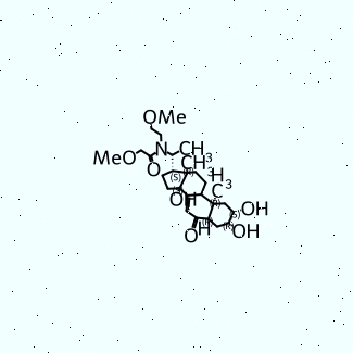 COCCN(C(=O)COC)C(C)[C@H]1CC[C@@]2(O)C3=CC(=O)[C@@H]4C[C@@H](O)[C@@H](O)C[C@]4(C)C3CC[C@]12C